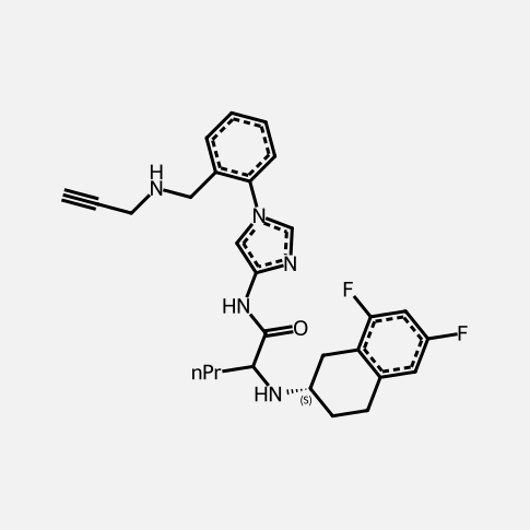 C#CCNCc1ccccc1-n1cnc(NC(=O)C(CCC)N[C@H]2CCc3cc(F)cc(F)c3C2)c1